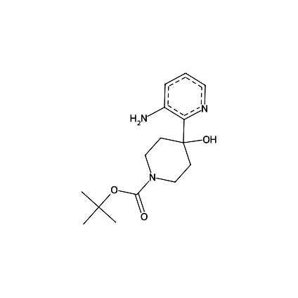 CC(C)(C)OC(=O)N1CCC(O)(c2ncccc2N)CC1